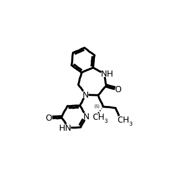 CC[C@H](C)C1C(=O)Nc2ccccc2CN1c1cc(=O)[nH]cn1